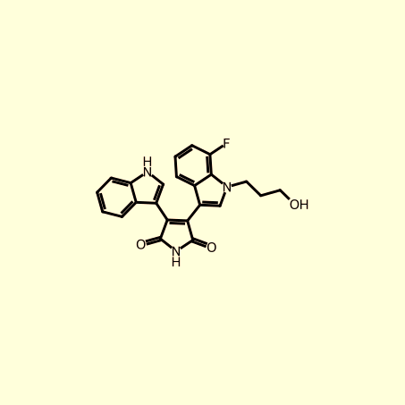 O=C1NC(=O)C(c2cn(CCCO)c3c(F)cccc23)=C1c1c[nH]c2ccccc12